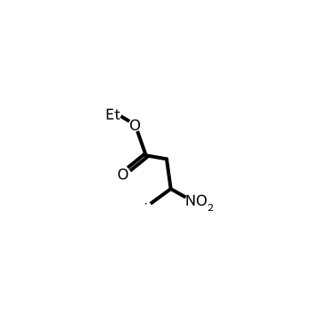 [CH2]C(CC(=O)OCC)[N+](=O)[O-]